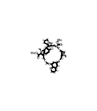 COC(=O)c1c2c3ccc(Cl)c(c3n1C)-c1c(nn3c1CCC3)CN(C(=O)OC(C)(C)C)Cc1cc(n(C)n1)CSc1cc(c3ncccc3c1)OCCC2